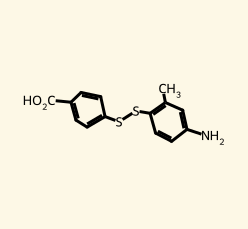 Cc1cc(N)ccc1SSc1ccc(C(=O)O)cc1